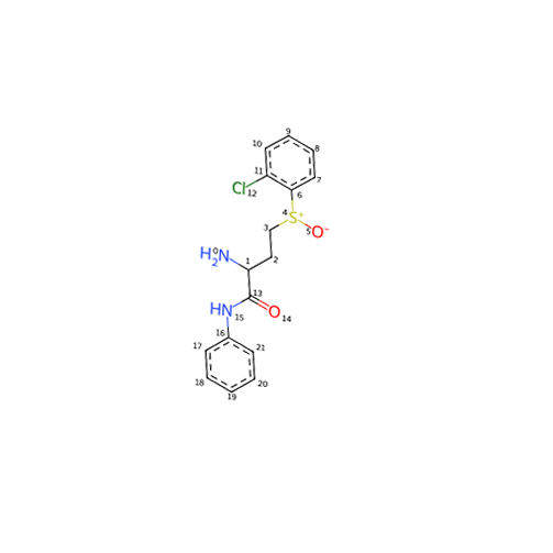 NC(CC[S+]([O-])c1ccccc1Cl)C(=O)Nc1ccccc1